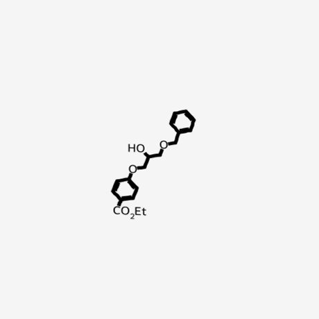 CCOC(=O)c1ccc(OCC(O)COCc2ccccc2)cc1